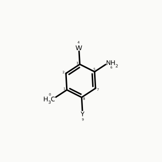 Cc1c[c]([W])c(N)c[c]1[Y]